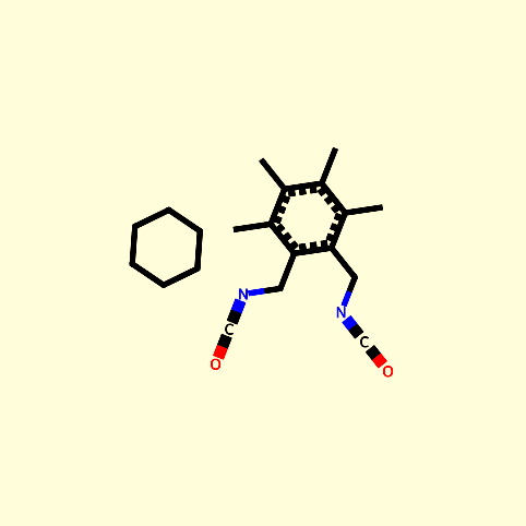 C1CCCCC1.Cc1c(C)c(C)c(CN=C=O)c(CN=C=O)c1C